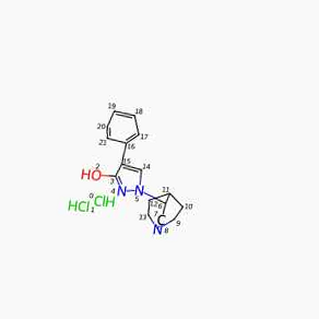 Cl.Cl.Oc1nn(C2CN3CCC2CC3)cc1-c1ccccc1